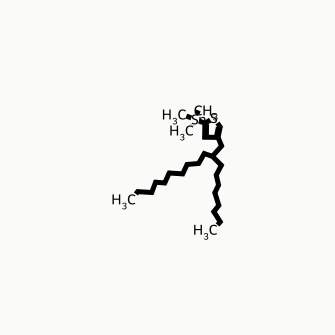 CCCCCCCCCCC(CCCCCCCC)Cc1cs[c]([Sn]([CH3])([CH3])[CH3])c1